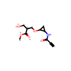 C#CC(=O)NC1CC1OCC(CO)C(=O)OC